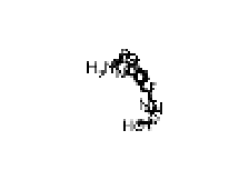 CC(CO)Oc1cnc(/C(F)=C/c2ccc(F)c([C@]3(C)CS(=O)(=O)C(C)(C)C(N)=N3)c2)cn1